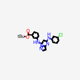 CC(C)(C)OC(=O)c1cccc(Nc2cc(Nc3cccc(Cl)c3)nc3ccnn23)c1